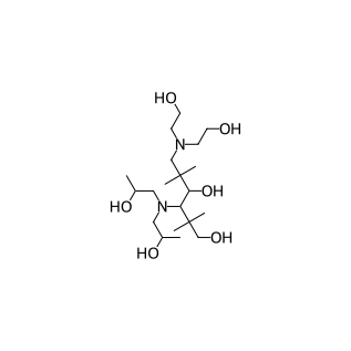 CC(O)CN(CC(C)O)C(C(O)C(C)(C)CN(CCO)CCO)C(C)(C)CO